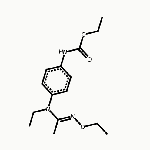 CCON=C(C)N(CC)c1ccc(NC(=O)OCC)cc1